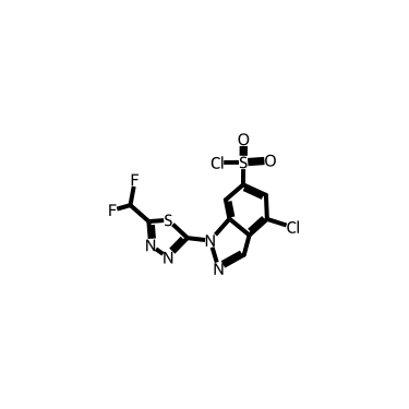 O=S(=O)(Cl)c1cc(Cl)c2cnn(-c3nnc(C(F)F)s3)c2c1